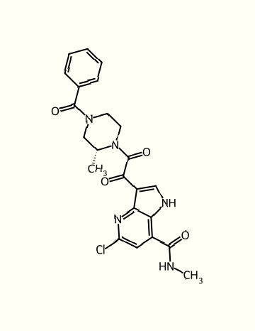 CNC(=O)c1cc(Cl)nc2c(C(=O)C(=O)N3CCN(C(=O)c4ccccc4)C[C@H]3C)c[nH]c12